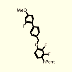 CCCCCc1ccc(OCc2ccc(-c3ccc(OC)cc3F)cc2)c(F)c1F